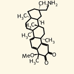 CO[C@]1(C)C(=O)C(=O)C=C2C1=CC=C1[C@@]2(C)CC[C@@]2(C)[C@@H]3C[C@](C)(CN)CC[C@]3(C)CC[C@]12C